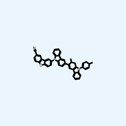 CC1C=CC(n2c3c(c4ccccc42)C=C(c2ccc4c(c2)c2ccccc2n4-c2ccc4oc5ccc(C#N)cc5c4c2)C(C)C3)=CC1